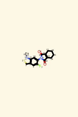 CCN1SCc2cc(F)c(N3C(=O)C4=C(CCCC4)C3=O)cc21